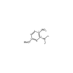 COc1ccc([N+](=O)[O-])c(N(C)C)c1